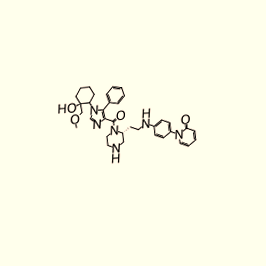 COC[C@]1(O)CCCC[C@H]1n1cnc(C(=O)N2CCNC[C@H]2CCNc2ccc(-n3ccccc3=O)cc2)c1-c1ccccc1